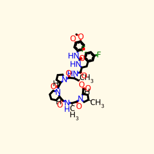 C[C@H]1C[C@H]2C(=O)O[C@@H](C)[C@H](NC(=O)C(Cc3cc(F)cc(F)c3)NC(=O)Nc3ccc4c(c3)OCO4)C(=O)N3CCC[C@H]3C(=O)N3CCCC[C@H]3C(=O)N[C@@H](C)C(=O)N2C1